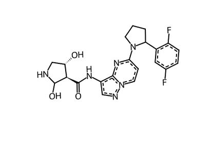 O=C(Nc1cnn2ccc(N3CCCC3c3cc(F)ccc3F)nc12)[C@H]1C(O)NC[C@@H]1O